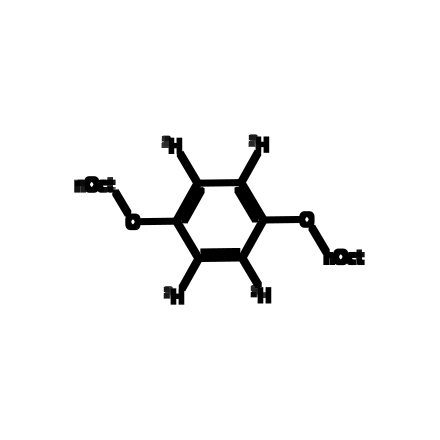 [2H]c1c([2H])c(OCCCCCCCC)c([2H])c([2H])c1OCCCCCCCC